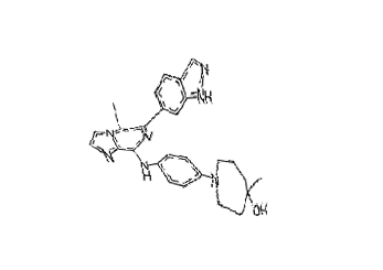 Cc1c(-c2ccc3cn[nH]c3c2)nc(Nc2ccc(N3CCC(C)(O)CC3)cc2)c2nccn12